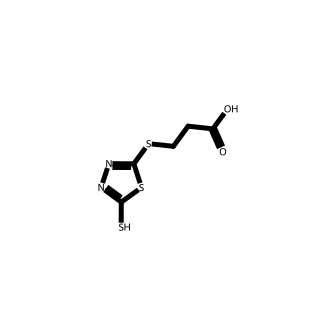 O=C(O)CCSc1nnc(S)s1